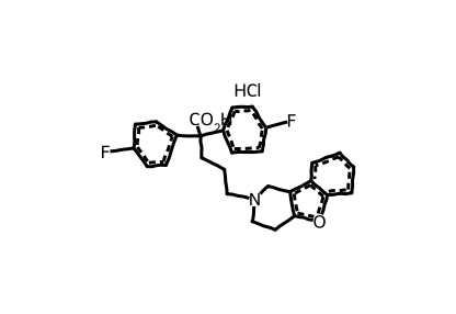 Cl.O=C(O)C(CCCN1CCc2oc3ccccc3c2C1)(c1ccc(F)cc1)c1ccc(F)cc1